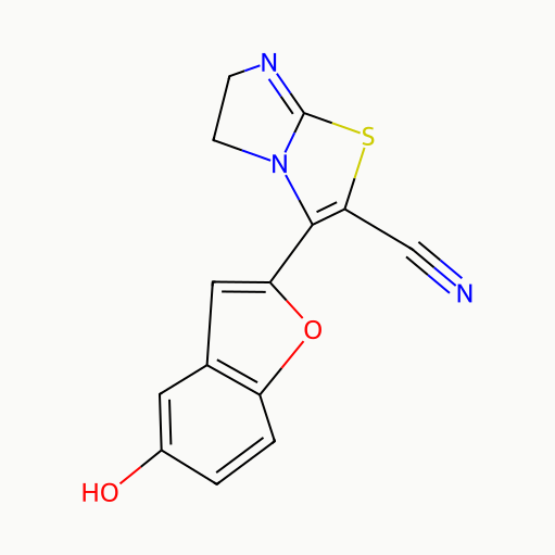 N#CC1=C(c2cc3cc(O)ccc3o2)N2CCN=C2S1